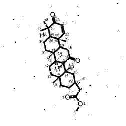 COC(=O)C[C@@]1(C)CC[C@]2(C)CC[C@]3(C)[C@H](C(=O)CC4[C@@]5(C)C=CC(=O)C(C)(C)[C@@H]5CC[C@]43C)[C@@H]2C1